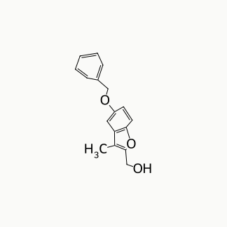 Cc1c(CO)oc2ccc(OCc3ccccc3)cc12